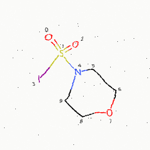 O=S(=O)(I)N1CCOCC1